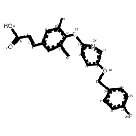 Cc1cc(/C=C/C(=O)O)cc(C)c1Oc1ccc(OCc2ccc(F)cc2)cn1